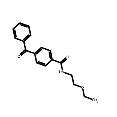 CCOCCNC(=O)c1ccc(C(=O)c2ccccc2)cc1